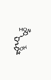 CN(C)c1ccc(/C=C/c2cccc(/C=C/c3ccc(N(C)C)c(O)c3)c2)cc1O